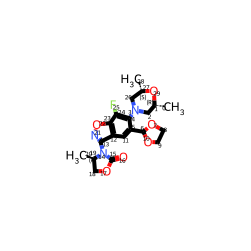 C[C@@H]1CN(c2c(C3OCCO3)cc3c(N4C(=O)OC[C@H]4C)noc3c2F)C[C@H](C)O1